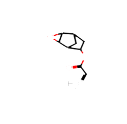 C=CC(=O)OC1CC2CC1C1OC21